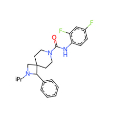 CC(C)N1CC2(CCN(C(=O)Nc3ccc(F)cc3F)CC2)C1c1ccccc1